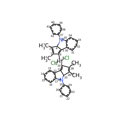 CC1=C(C)C2C(=[C]1[Hf]([Cl])([Cl])[C]1=C3c4ccccc4N(c4ccccc4)C3C(C)=C1C)c1ccccc1N2c1ccccc1